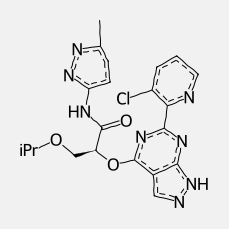 Cc1ccc(NC(=O)[C@H](COC(C)C)Oc2nc(-c3ncccc3Cl)nc3[nH]ncc23)nn1